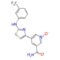 NC(=O)c1cc(-c2csc(Nc3cccc(C(F)(F)F)c3)n2)c[n+]([O-])c1